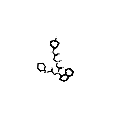 O=C(C[S+]([O-])CC(=O)N(CC(=O)NC1CCCCC1)c1cccc2ccccc12)Nc1ccc(F)cc1